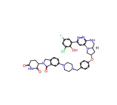 O=C1CCC(N2Cc3ccc(N4CCN(Cc5ccc(O[C@@H]6C[C@@H]7CNc8nnc(-c9cc(F)cc(Cl)c9O)cc8N7C6)cc5)CC4)cc3C2=O)C(=O)N1